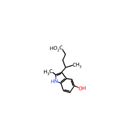 Cc1[nH]c2ccc(O)cc2c1C(C)CCC(=O)O